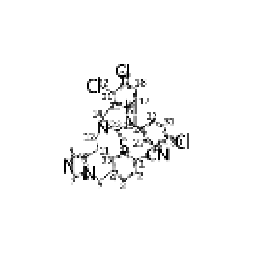 N#Cc1ccc(Cn2cncc2CCN(Cc2cccc(Cl)c2Cl)C(=S)Nc2ccc(Cl)cc2)cc1